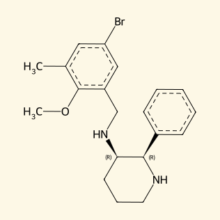 COc1c(C)cc(Br)cc1CN[C@@H]1CCCN[C@@H]1c1ccccc1